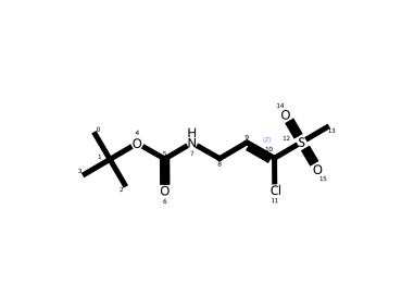 CC(C)(C)OC(=O)NC/C=C(\Cl)S(C)(=O)=O